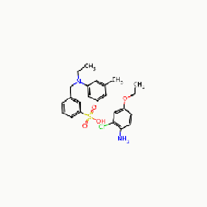 CCN(Cc1cccc(S(=O)(=O)O)c1)c1cccc(C)c1.CCOc1ccc(N)c(Cl)c1